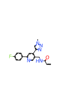 C=CC(=O)NCc1cnc(-c2ccc(F)cc2)cc1-c1cn(C)nn1